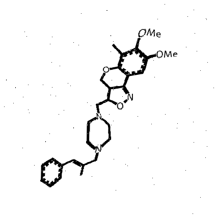 COc1cc2c(c(C)c1OC)OCC1C2=NOC1CN1CCN(CC(C)=Cc2ccccc2)CC1